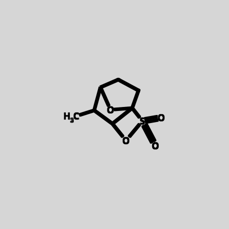 CC1C2CCC3(O2)C1OS3(=O)=O